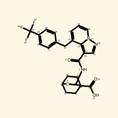 O=C(NC1CC2CCC1(C(=O)O)CC2)c1cnn2cccc(Cc3ccc(C(F)(F)F)cc3)c12